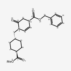 COC(=O)[C@H]1CC[C@H](CN2C=CN(C(=O)OCc3ccccc3)CC2=O)CC1